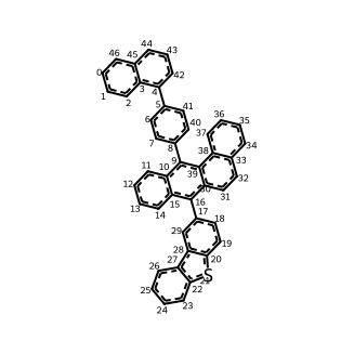 c1ccc2c(-c3ccc(-c4c5ccccc5c(-c5ccc6sc7ccccc7c6c5)c5ccc6ccccc6c45)cc3)cccc2c1